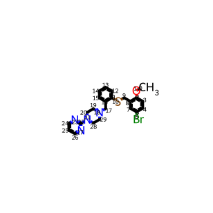 COc1ccc(Br)cc1CSc1ccccc1CN1CCN(c2ncccn2)CC1